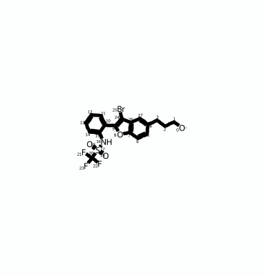 [O]CCCc1ccc2oc(-c3ccccc3NS(=O)(=O)C(F)(F)F)c(Br)c2c1